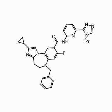 CC(C)n1cnnc1-c1cccc(NC(=O)c2cc3c(cc2F)N(Cc2ccccc2)CCc2nc(C4CC4)cn2-3)n1